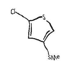 CSc1csc(Cl)c1